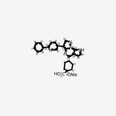 CO[C@]1(C(=O)O)CC[C@H](c2nc3c(-c4ccc(-c5ccccc5)nc4)cnn3c3[nH]ccc32)CC1